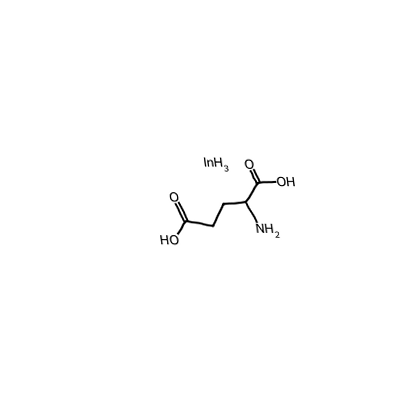 NC(CCC(=O)O)C(=O)O.[InH3]